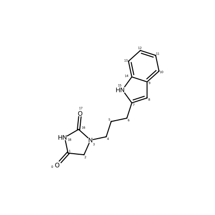 O=C1CN(CCCc2cc3ccccc3[nH]2)C(=O)N1